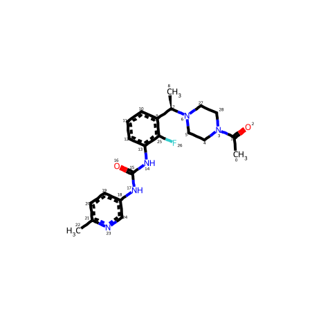 CC(=O)N1CCN([C@H](C)c2cccc(NC(=O)Nc3ccc(C)nc3)c2F)CC1